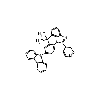 CC1(C)c2cc(-n3c4ccccc4c4ccccc43)ccc2-n2c(-c3ccncc3)nc3cccc1c32